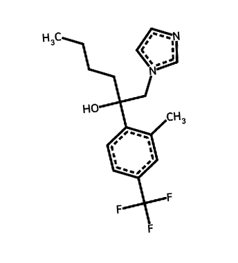 CCCCC(O)(Cn1ccnc1)c1ccc(C(F)(F)F)cc1C